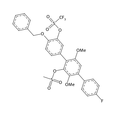 COc1cc(-c2ccc(F)cc2)c(OC)c(OS(C)(=O)=O)c1-c1ccc(OCc2ccccc2)c(OS(=O)(=O)C(F)(F)F)c1